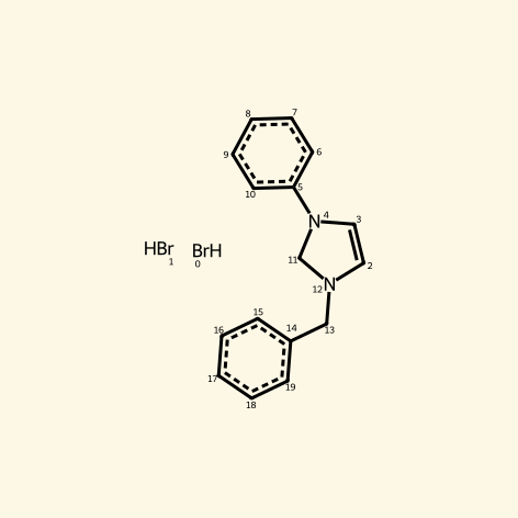 Br.Br.C1=CN(c2ccccc2)CN1Cc1ccccc1